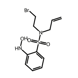 C=CCN(CCBr)S(=O)(=O)c1ccccc1NO